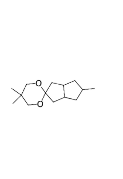 CC1CC2CC3(CC2C1)OCC(C)(C)CO3